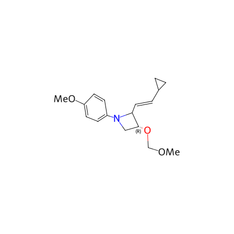 COCO[C@@H]1CN(c2ccc(OC)cc2)C1C=CC1CC1